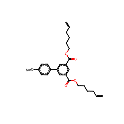 C=CCCCCOC(=O)c1cc(C(=O)OCCCCC=C)cc(-c2ccc(OC)cc2)c1